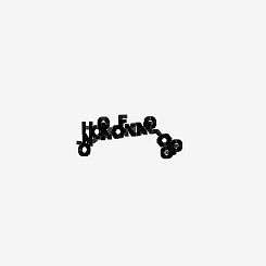 CC(=O)NCC1CN(c2ccc(N3CCN(C(=O)C=Cc4ccc(S(C)(=O)=O)cc4)CC3)c(F)c2)C(=O)O1